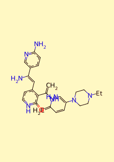 C=C(/C=C\C(=C/N)N1CCN(CC)CC1)NC(=C)c1c(/C=C(\N)c2ccc(N)nc2)cc[nH]c1=O